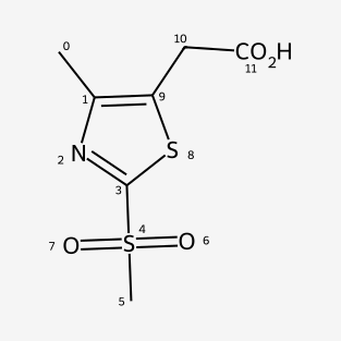 Cc1nc(S(C)(=O)=O)sc1CC(=O)O